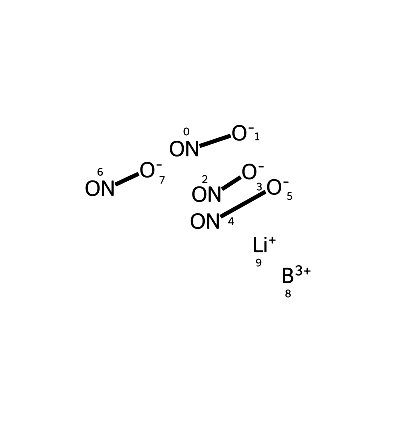 O=N[O-].O=N[O-].O=N[O-].O=N[O-].[B+3].[Li+]